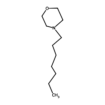 CCCCCCCN1CCOCC1